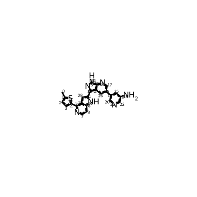 Cc1ccc(-c2nccc3[nH]c(-c4n[nH]c5ncc(-c6cncc(N)c6)cc45)cc23)s1